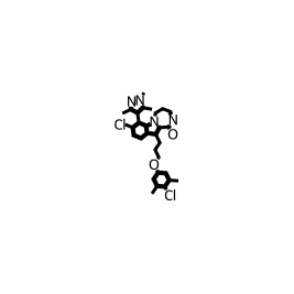 Cc1cc(OCCCc2c3n(c4c(-c5c(C)nn(C)c5C)c(Cl)ccc24)CCC=NC3=O)cc(C)c1Cl